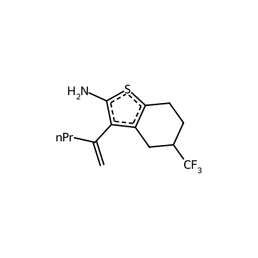 C=C(CCC)c1c(N)sc2c1CC(C(F)(F)F)CC2